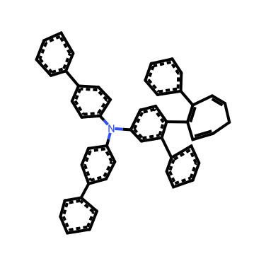 C1=CC(c2ccccc2)=C(c2ccc(N(c3ccc(-c4ccccc4)cc3)c3ccc(-c4ccccc4)cc3)cc2-c2ccccc2)C=CC1